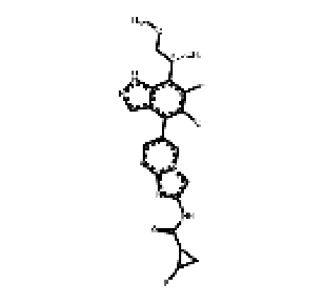 COC[C@H](C)c1c(F)c(Cl)c(-c2ccc3nc(NC(=O)C4CC4F)cn3c2)c2cn[nH]c12